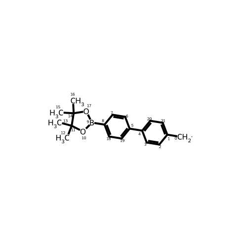 [CH2]c1ccc(-c2ccc(B3OC(C)(C)C(C)(C)O3)cc2)cc1